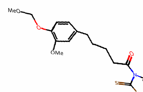 COCOc1ccc(CCCCC(=O)n2ccsc2=S)cc1OC